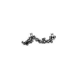 O=C1CCC(N2Cc3cc(N4CCN(CC5CCN(c6ccc(-c7cnc8[nH]cc(C(=O)c9c(F)ccc(NS(=O)(=O)N%10CC[C@@H](F)C%10)c9F)c8c7)cc6)CC5)CC(F)(F)C4)ccc3C2=O)C(=O)N1